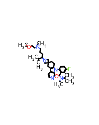 CCN(C(=O)c1cc(F)ccc1-n1c2c(c3ccncc31)CC1(CC2)CN(C(CCCN(C)CCOC)C(C)C)C1)C(C)C